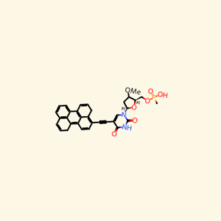 COC1C[C@H](n2cc(C#Cc3ccc4c5c6c(cccc6c6c4c3CC=C6)C=CC5)c(=O)[nH]c2=O)O[C@@H]1COP(C)(=O)O